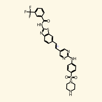 O=C(Nc1nc2ccc(/C=C/c3cnc(Nc4ccc(S(=O)(=O)N5CCNCC5)cc4)nc3)cc2s1)c1cccc(C(F)(F)F)c1